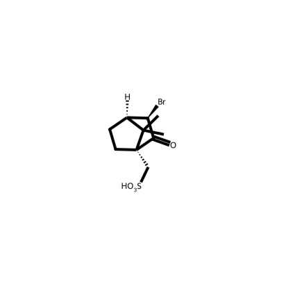 CC1(C)[C@H]2CC[C@]1(CS(=O)(=O)O)C(=O)[C@@H]2Br